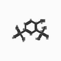 O=S(=O)(Cl)c1ccc(O)c(S(=O)(=O)Cl)c1